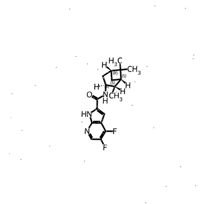 C[C@@H]1[C@@H](NC(=O)c2cc3c(F)c(F)cnc3[nH]2)C[C@H]2C[C@@H]1C2(C)C